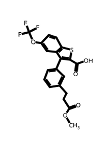 COC(=O)CCc1cccc(-c2c(C(=O)O)sc3ccc(OC(F)(F)F)cc23)c1